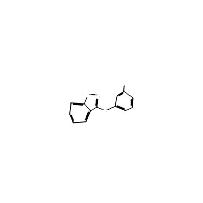 Clc1cccc(Nc2n[nH]c3ccccc23)c1